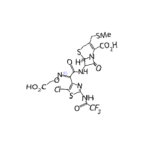 CSCC1=C(C(=O)O)N2C(=O)C(NC(=O)/C(=N/OCC(=O)O)c3nc(NC(=O)C(F)(F)F)sc3Cl)[C@H]2SC1